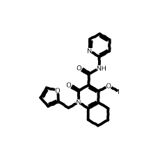 O=C(Nc1ccccn1)c1c(OI)c2c(n(Cc3ccco3)c1=O)CCCC2